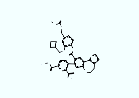 CCCNC(=O)c1ccc(-c2cc3c(cc2C(=O)Nc2ccc(CNC(=O)OC(C)(C)C)cc2OCC2CCC2)-c2sccc2CCO3)c(C(=O)OC)n1